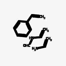 C=CN.C=CNC=O.C=Cc1ccccc1